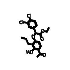 CCCc1c(OC(C(=O)OCC)c2ccc(Cl)c(Cl)c2)ccc(C(C)=O)c1O